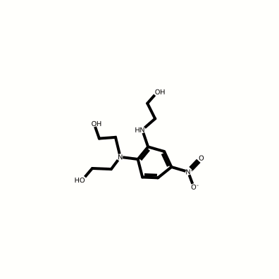 O=[N+]([O-])c1ccc(N(CCO)CCO)c(NCCO)c1